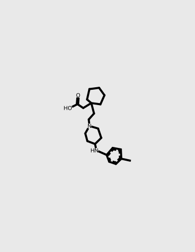 Cc1ccc(NC2CCN(CCC3(CC(=O)O)CCCCC3)CC2)cc1